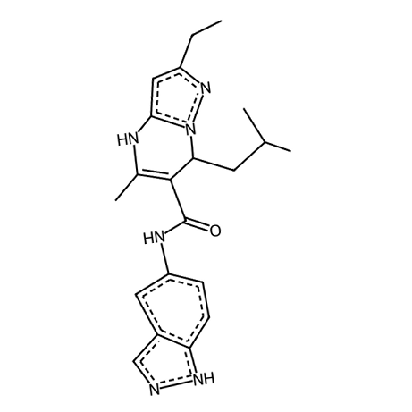 CCc1cc2n(n1)C(CC(C)C)C(C(=O)Nc1ccc3[nH]ncc3c1)=C(C)N2